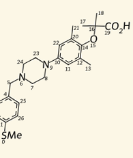 CSc1ccc(CN2CCN(c3cc(C)c(OC(C)(C)C(=O)O)c(C)c3)CC2)cc1